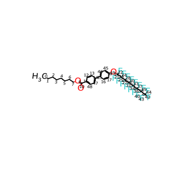 CCCCCCCCOC(=O)c1ccc(-c2ccc(OC(F)(F)C(F)(F)C(F)(F)C(F)(F)C(F)(F)C(F)(F)C(F)(F)C(F)(F)F)cc2)cc1